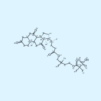 C[C@H](CCC(=O)OCC(F)(F)CCOC(=O)C(F)(F)S(=O)(=O)O)[C@H]1CCC2C3C(=O)CC4CC(=O)CC[C@]4(C)C3CC(=O)[C@@]21C